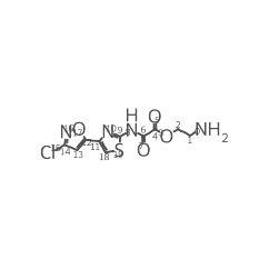 NCCOC(=O)C(=O)Nc1nc(-c2cc(Cl)no2)cs1